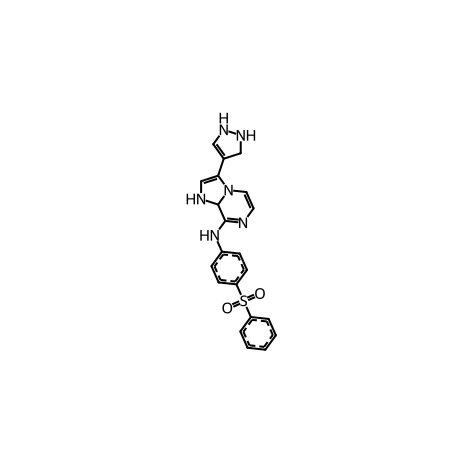 O=S(=O)(c1ccccc1)c1ccc(NC2=NC=CN3C(C4=CNNC4)=CNC23)cc1